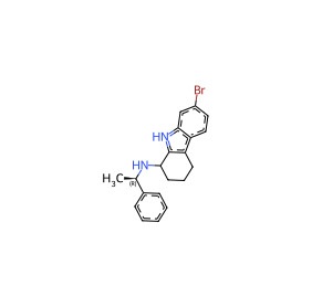 C[C@@H](NC1CCCc2c1[nH]c1cc(Br)ccc21)c1ccccc1